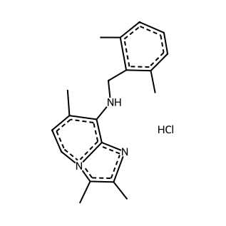 Cc1cccc(C)c1CNc1c(C)ccn2c(C)c(C)nc12.Cl